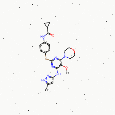 CCOc1c(Nc2cc(C)[nH]n2)nc(Sc2ccc(NC(=O)C3CC3)cc2)nc1N1CCOCC1